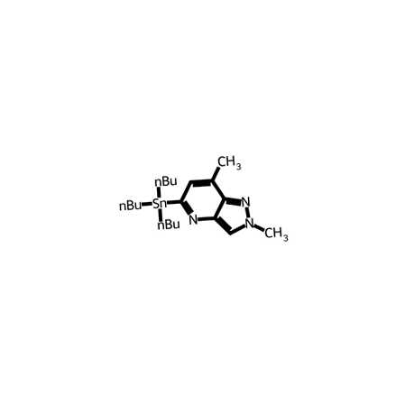 CCC[CH2][Sn]([CH2]CCC)([CH2]CCC)[c]1cc(C)c2nn(C)cc2n1